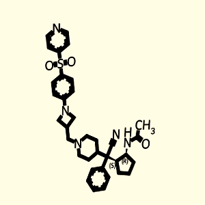 CC(=O)N[C@@H]1CCC[C@H]1C(C#N)(c1ccccc1)C1CCN(CC2CN(c3ccc(S(=O)(=O)c4ccncc4)cc3)C2)CC1